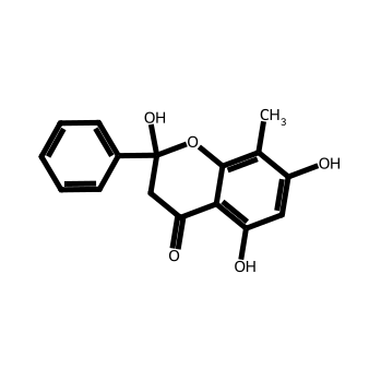 Cc1c(O)cc(O)c2c1OC(O)(c1ccccc1)CC2=O